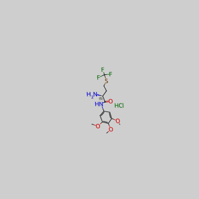 COc1cc(NC(=O)[C@@H](N)CCSC(F)(F)F)cc(OC)c1OC.Cl